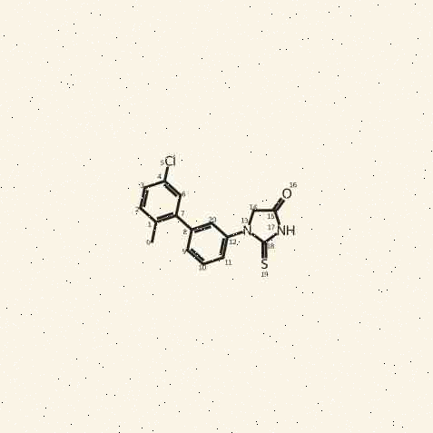 Cc1ccc(Cl)cc1-c1cccc(N2CC(=O)NC2=S)c1